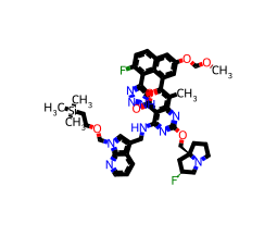 COCOc1cc(-c2oc(=O)c3c(NCc4cn(COCC[Si](C)(C)C)c5ncccc45)nc(OC[C@@]45CCCN4C[C@H](F)C5)nc3c2C)c2c(-c3c[nH]nn3)c(F)ccc2c1